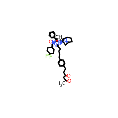 CC(=O)CC(=O)CCc1ccc(CCCCc2nnc(C)n2C2CC3CCC(C2)N3CC[C@H](NC(=O)C2CCC(F)(F)CC2)c2ccccc2)cc1